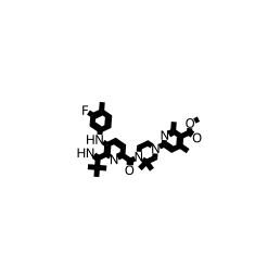 COC(=O)c1c(C)cc(N2CCN(C(=O)c3ccc(Nc4ccc(C)c(F)c4)c(C(=N)C(C)(C)C)n3)C(C)(C)C2)nc1C